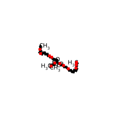 CCCCC/C=C\C/C=C\CCCCCCCCOC(=O)C[C@H](OC(=O)CCN(C)C)C(=O)OCCCCCCCC/C=C\C/C=C\CCCCC